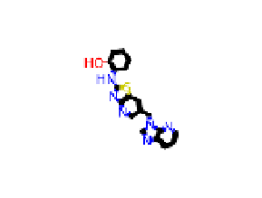 O[C@@H]1CCCCC1Nc1nc2ncc(Cn3cnc4cccnc43)cc2s1